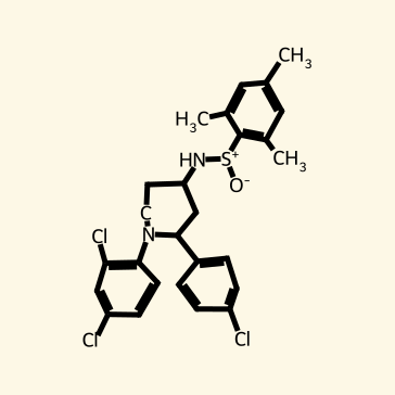 Cc1cc(C)c([S+]([O-])NC2CCN(c3ccc(Cl)cc3Cl)C(c3ccc(Cl)cc3)C2)c(C)c1